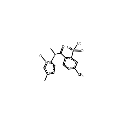 CCS(=O)(=O)c1cc(C(F)(F)F)ccc1C(=O)N(C)c1ccc(C)c[n+]1[O-]